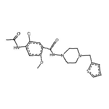 COc1cc(NC(C)=O)c(Cl)cc1C(=O)NN1CCN(Cc2cccs2)CC1